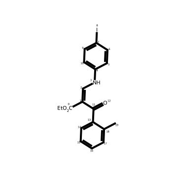 CCOC(=O)C(=CNc1ccc(I)cc1)C(=O)c1ccccc1C